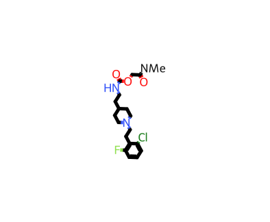 CNC(=O)COC(=O)NCCC1CCN(CCc2c(F)cccc2Cl)CC1